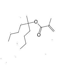 C=C(C)C(=O)OC(C)(CCCC)CCCC